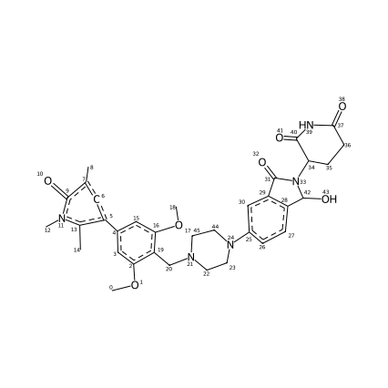 COc1cc(-c2cc(C)c(=O)n(C)c2C)cc(OC)c1CN1CCN(c2ccc3c(c2)C(=O)N(C2CCC(=O)NC2=O)C3O)CC1